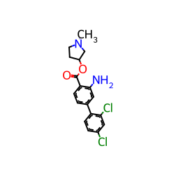 CN1CCC(OC(=O)c2ccc(-c3ccc(Cl)cc3Cl)cc2N)C1